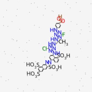 CC(CNc1nc(Cl)nc(Nc2ccc(N=Nc3cc4c(S(=O)(=O)O)cc(S(=O)(=O)O)cc4cc3S(=O)(=O)O)c3cccc(S(=O)(=O)O)c23)n1)Nc1nc(F)nc(Nc2ccc([SH](=O)=O)cc2)n1